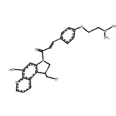 CN(C)CCOc1ccc(C=CC(=O)N2CC(CCl)c3c2cc(O)c2ncccc32)cc1